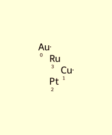 [Au].[Cu].[Pt].[Ru]